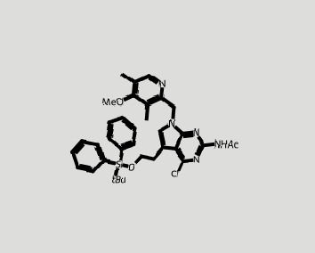 COc1c(C)cnc(Cn2cc(CCO[Si](c3ccccc3)(c3ccccc3)C(C)(C)C)c3c(Cl)nc(NC(C)=O)nc32)c1C